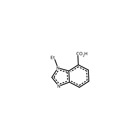 CCn1cnc2cccc(C(=O)O)c21